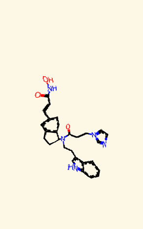 O=C(C=Cc1ccc2c(c1)CCC2N(CCc1c[nH]c2ccccc12)C(=O)CCn1ccnc1)NO